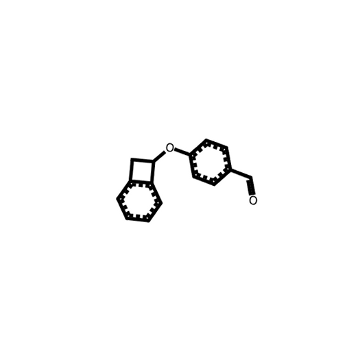 O=Cc1ccc(OC2Cc3ccccc32)cc1